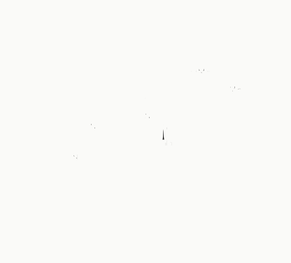 [CH2]CC[C@H](c1ccc(OC)c(OC)c1)N1Cc2c(cccc2N2CCN(C3CCC3)CC2)C1=O